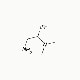 CC(C)C(CN)N(C)C